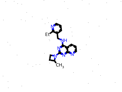 CCc1ncccc1CNc1nc(N2CCC2C)nc2ncccc12